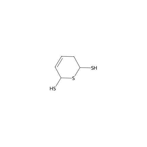 SC1C=CCC(S)S1